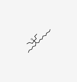 CCCCCCCCC(CCCCC)C([O])(CCC)CCC